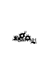 C#CCN[C@H]1CC[C@H](c2c(C)ccc(C(=O)OC(C)(C)C)c2NC)CC1